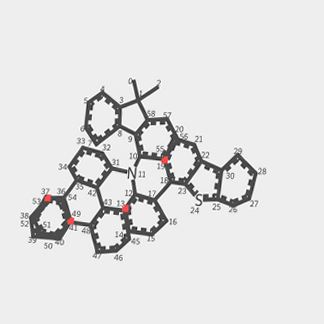 CC1(C)c2ccccc2-c2c(N(c3ccccc3-c3cccc4c3sc3ccccc34)c3cccc(-c4ccccc4)c3-c3ccccc3-c3ccccc3)cccc21